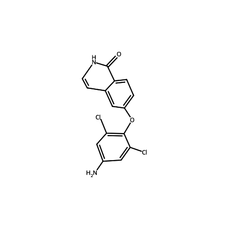 Nc1cc(Cl)c(Oc2ccc3c(=O)[nH]ccc3c2)c(Cl)c1